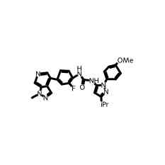 COc1ccc(-n2nc(C(C)C)cc2NC(=O)Nc2ccc(-c3cncc4c3cnn4C)cc2F)cc1